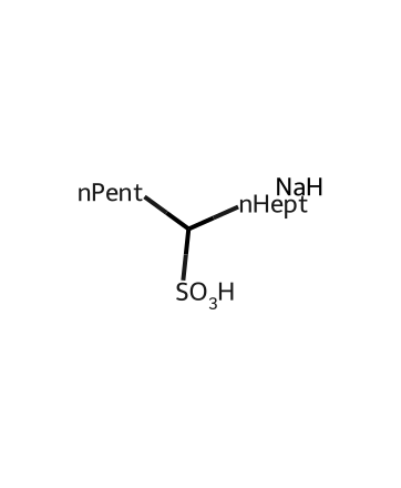 CCCCCCCC(CCCCC)S(=O)(=O)O.[NaH]